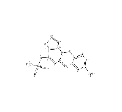 COc1ccc(Cn2c(=O)cc(OS(=O)(=O)C(F)(F)F)c3occc32)cc1